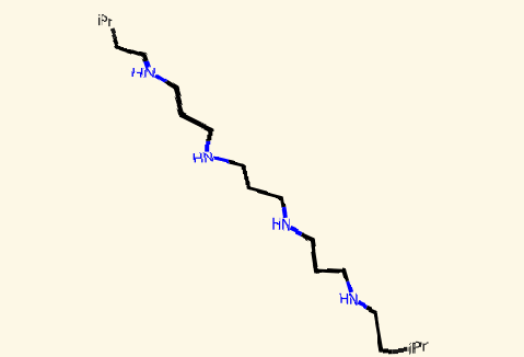 CC(C)CCNCCCNCCCNCCCNCCC(C)C